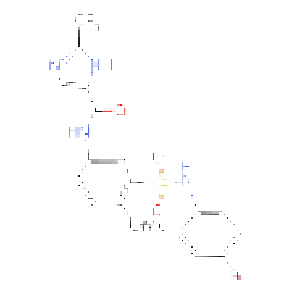 COc1ccc(NC(=O)c2cnc(C(F)(F)F)[nH]2)cc1S(=O)(=O)Nc1ccc(Br)cc1